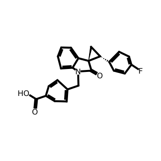 O=C(O)c1ccc(CN2C(=O)[C@]3(C[C@@H]3c3ccc(F)cc3)c3ccccc32)cc1